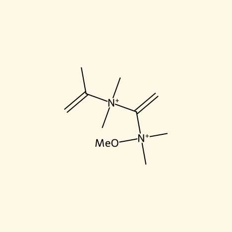 C=C(C)[N+](C)(C)C(=C)[N+](C)(C)OC